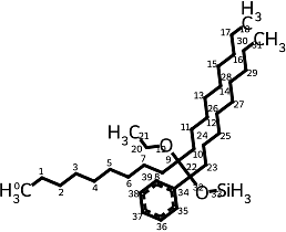 CCCCCCCCCC(CCCCCCCCC)(OCC)C(CCCCCCCCC)(O[SiH3])c1ccccc1